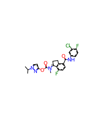 CC(C)n1ccc(OC(=O)N(C)[C@H]2CCc3c(C(=O)Nc4ccc(F)c(Cl)c4)ccc(F)c32)n1